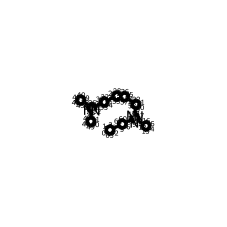 c1ccc(-c2ccc(-c3nc(-c4ccccc4)nc(-c4cccc(-c5ccc6ccc(-c7ccc(-c8cc(-c9ccccc9)nc(-c9ccccc9)n8)cc7)cc6c5)c4)n3)cc2)cc1